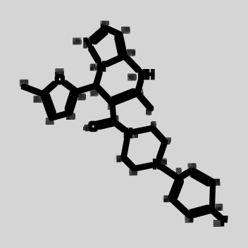 CC1=C(C(=O)N2CCN(c3ccc(F)cc3)CC2)C(c2ccc(C)o2)n2nccc2N1